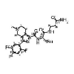 CN1CCc2c(c(-c3cc(F)c(F)cc3F)nn2C(=O)NC(C(=O)NCCC(N)=O)C(C)(C)C)C1